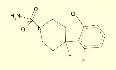 NS(=O)(=O)N1CCC(F)(c2c(F)cccc2Cl)CC1